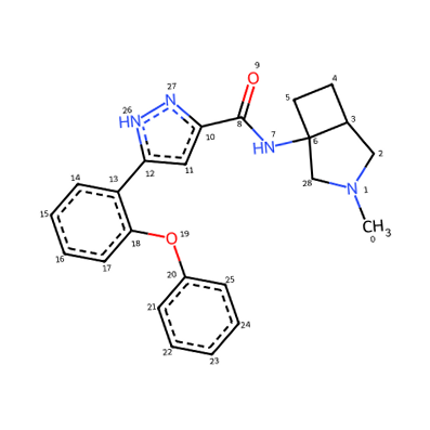 CN1CC2CCC2(NC(=O)c2cc(-c3ccccc3Oc3ccccc3)[nH]n2)C1